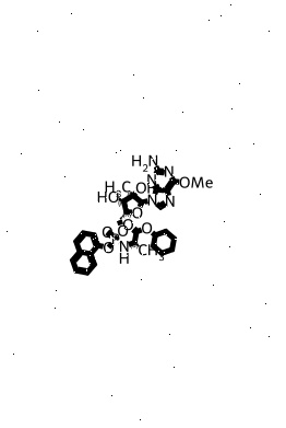 COc1nc(N)nc2c1ncn2C1O[C@H](COP(=O)(N[C@@H](C)C(=O)OC2CCCCC2)Oc2cccc3ccccc23)[C@@H](O)[C@@]1(C)O